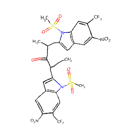 CC(C(=O)C(C)c1cc2cc([N+](=O)[O-])c(C(F)(F)F)cc2n1S(C)(=O)=O)c1cc2cc([N+](=O)[O-])c(C(F)(F)F)cc2n1S(C)(=O)=O